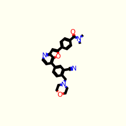 CN(C)C(=O)c1ccc(-c2cc3nccc(-c4ccc(CN5CCOCC5)c(C#N)c4)c3o2)cc1